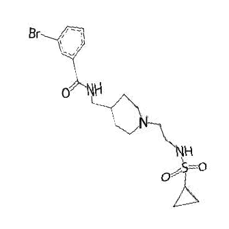 O=C(NCC1CCN(CCNS(=O)(=O)C2CC2)CC1)c1cccc(Br)c1